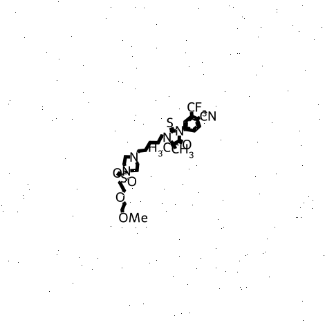 COCCOCCS(=O)(=O)N1CCN(CCCCCN2C(=S)N(c3ccc(C#N)c(C(F)(F)F)c3)C(=O)C2(C)C)CC1